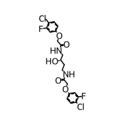 O=C(COc1ccc(Cl)c(F)c1)NCC[C@@H](O)CNC(=O)COc1ccc(Cl)c(F)c1